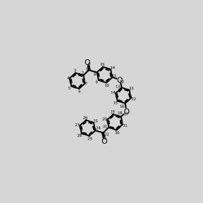 O=C(c1ccccc1)c1ccc(Oc2ccc(Oc3ccc(C(=O)c4ccccc4)cc3)cc2)cc1